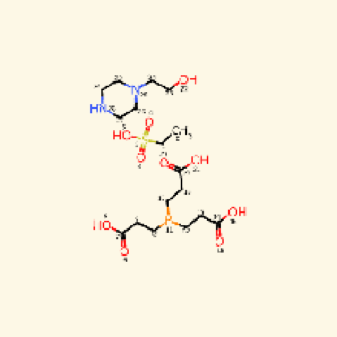 CCS(=O)(=O)O.O=C(O)CCP(CCC(=O)O)CCC(=O)O.OCCN1CCNCC1